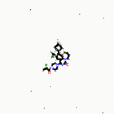 C=C(F)C(=O)N1CCN(c2nc(=O)n3c4c(c(-c5ccc(F)cc5)c(C(F)(F)F)cc24)SCCC3)CC1